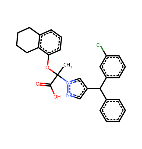 CC(Oc1cccc2c1CCCC2)(C(=O)O)n1cc(C(c2ccccc2)c2cccc(Cl)c2)cn1